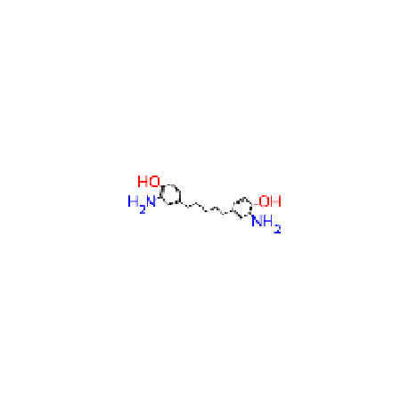 Nc1cc(CCCCCc2ccc(O)c(N)c2)ccc1O